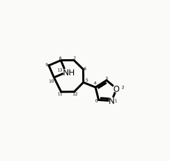 c1nocc1C1CCC2CC(CC1)N2